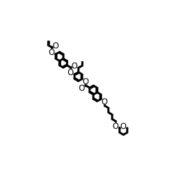 C=CC(=O)Oc1ccc2cc(C(=O)Oc3ccc(OC(=O)c4ccc5cc(OCCCCCCOC6CCCCO6)ccc5c4)cc3CCC)ccc2c1